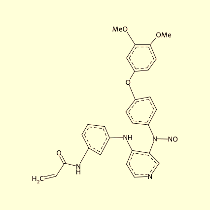 C=CC(=O)Nc1cccc(Nc2ccncc2N(N=O)c2ccc(Oc3ccc(OC)c(OC)c3)cc2)c1